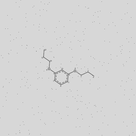 CCCOc1[c]ccc(OCCC)c1